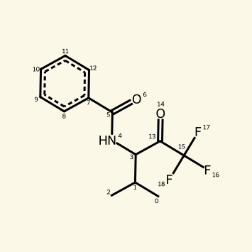 CC(C)C(NC(=O)c1ccccc1)C(=O)C(F)(F)F